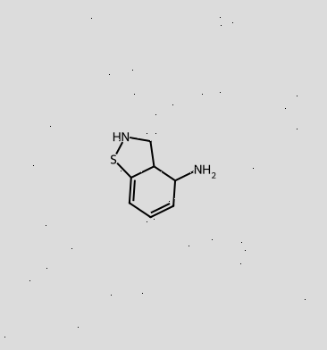 NC1C=CC=C2SNCC21